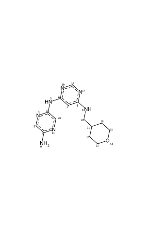 Nc1cnc(Nc2cc(NCC3CCOCC3)ncn2)cn1